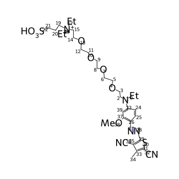 CCN(CCOCCOCCOCCOCC[N+](CC)(CC)CCCS(=O)(=O)O)c1ccc(/N=N/c2sc(C#N)c(C)c2C#N)c(OC)c1